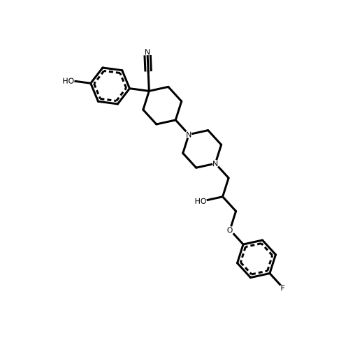 N#CC1(c2ccc(O)cc2)CCC(N2CCN(CC(O)COc3ccc(F)cc3)CC2)CC1